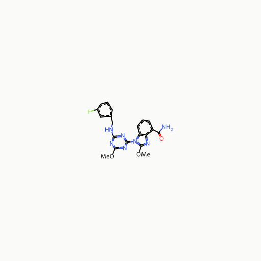 COc1nc(NCc2cccc(F)c2)nc(-n2c(OC)nc3c(C(N)=O)cccc32)n1